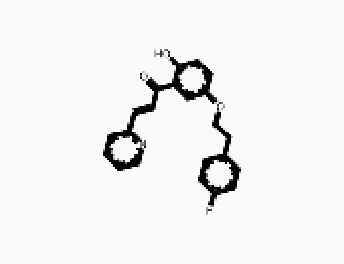 O=C(C=Cc1ccccn1)c1cc(OCCc2ccc(F)cc2)ccc1O